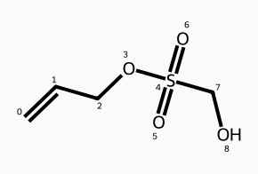 C=CCOS(=O)(=O)CO